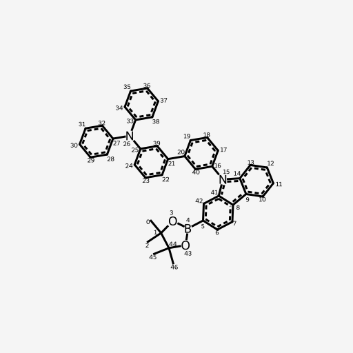 CC1(C)OB(c2ccc3c4ccccc4n(-c4cccc(-c5cccc(N(c6ccccc6)c6ccccc6)c5)c4)c3c2)OC1(C)C